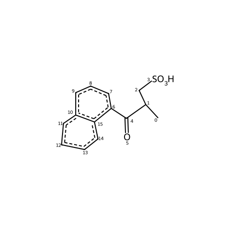 CC(CS(=O)(=O)O)C(=O)c1cccc2ccccc12